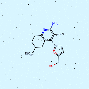 CCOC(=O)C1CCc2nc(N)c(C#N)c(-c3ccc(CO)o3)c2C1